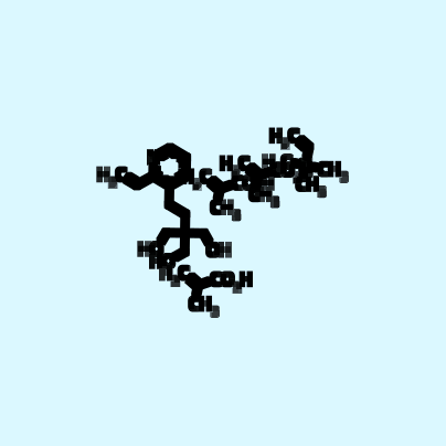 C=C(C)C(=O)O.C=C(C)C(=O)O.C=C(C)C(=O)O.C=C[Si](C)(C)C.C=Cc1ncccc1CCC(CO)(CO)CO